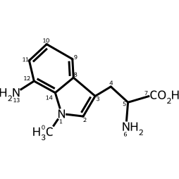 Cn1cc(CC(N)C(=O)O)c2cccc(N)c21